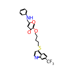 O=c1cc(CNc2ccccc2)occ1OCCCCCSc1ccnc2cc(C(F)(F)F)ccc12